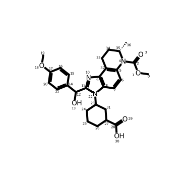 COC(=O)N1c2ccc3c(nc(C(O)c4ccc(OC)cc4)n3C3CCCC(C(=O)O)C3)c2CC[C@@H]1C